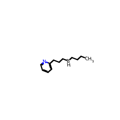 CCCCBCCCc1ccccn1